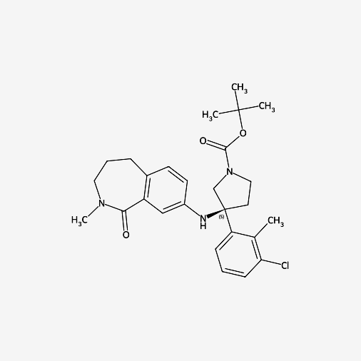 Cc1c(Cl)cccc1[C@@]1(Nc2ccc3c(c2)C(=O)N(C)CCC3)CCN(C(=O)OC(C)(C)C)C1